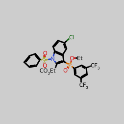 CCOC(=O)c1c(P(=O)(OCC)c2cc(C(F)(F)F)cc(C(F)(F)F)c2)c2cc(Cl)ccc2n1S(=O)(=O)c1ccccc1